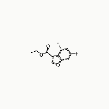 CCOC(=O)c1coc2cc(F)cc(F)c12